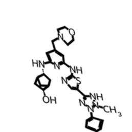 CN1NC(c2cnc(Nc3cc(CN4CCOCC4)cc(N[C@@H]4CC5CC4C[C@@H]5O)n3)s2)=NN1c1ccccc1